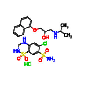 CC(C)NCC(O)COc1cccc2ccccc12.Cl.NS(=O)(=O)c1cc2c(cc1Cl)NCNS2(=O)=O